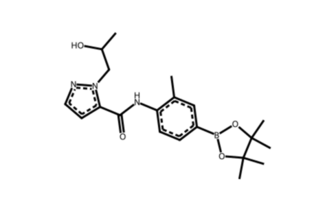 Cc1cc(B2OC(C)(C)C(C)(C)O2)ccc1NC(=O)c1ccnn1CC(C)O